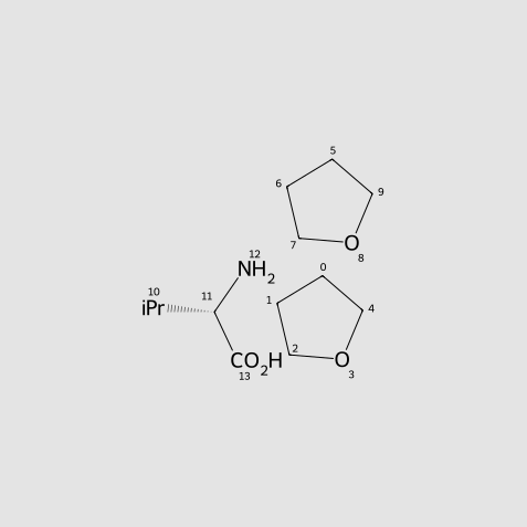 C1CCOC1.C1CCOC1.CC(C)[C@H](N)C(=O)O